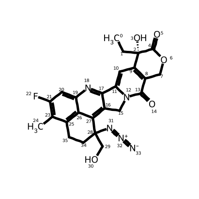 CC[C@@]1(O)C(=O)OCc2c1cc1n(c2=O)Cc2c-1nc1cc(F)c(C)c3c1c2C(CO)(N=[N+]=[N-])CC3